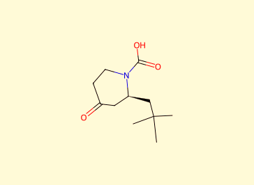 CC(C)(C)C[C@H]1CC(=O)CCN1C(=O)O